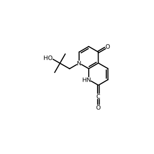 CC(C)(O)Cn1ccc(=O)c2c1NC(=C=O)C=C2